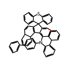 C1=CCC(c2ccccc2N(c2ccc(-c3ccccc3)cc2)c2cccc3c2C2=C(C=CC4C=CC=CC24)C32c3ccccc3Sc3ccccc32)C=C1